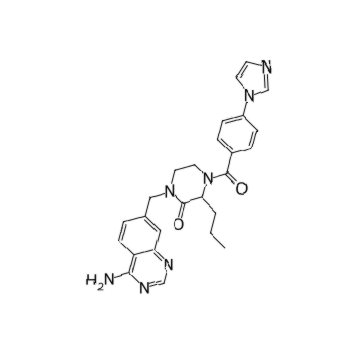 CCCC1C(=O)N(Cc2ccc3c(N)ncnc3c2)CCN1C(=O)c1ccc(-n2ccnc2)cc1